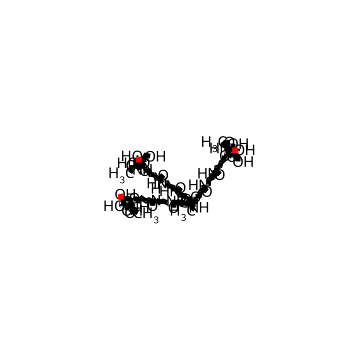 CNC(COCCC(=O)NCCCNC(=O)CCCCO[C@@H]1OC(CO)[C@H](O)C(O)C1NC(C)=O)(COCCC(=O)NCCCNC(=O)CCCCO[C@@H]1OC(CO)[C@H](O)C(O)C1NC(C)=O)COCCC(=O)NCCCNC(=O)CCCCO[C@@H]1CC(CO)[C@H](O)C(O)C1NC(C)=O